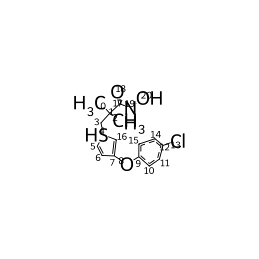 CC(C)(C[SH]1C=CC(Oc2ccc(Cl)cc2)=C1)C(=O)NO